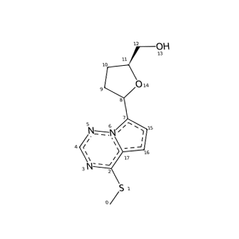 CSc1ncnn2c(C3CC[C@@H](CO)O3)ccc12